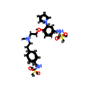 CN(CCOc1ccc(NS(C)(=O)=O)cc1-n1cccc1)CCc1ccc(NS(C)(=O)=O)cc1